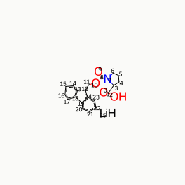 O=C(O)C1CCCN1C(=O)OCC1c2ccccc2-c2ccccc21.[LiH]